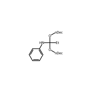 CCCCCCCCCCOC(CC)(Nc1ccccc1)OCCCCCCCCCC